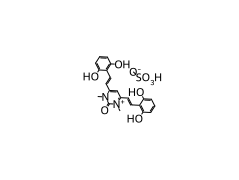 Cn1c(C=Cc2c(O)cccc2O)cc(C=Cc2c(O)cccc2O)[n+](C)c1=O.O=S(=O)([O-])O